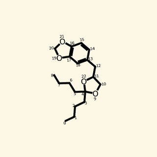 CCCCC1(CCCC)OCC(Cc2ccc3c(c2)OCO3)O1